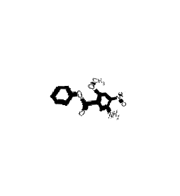 COc1cc([N+](=O)[O-])c(N)cc1C(=O)Oc1ccccc1